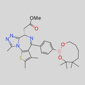 COC(=O)C[C@@H]1N=C(c2ccc(B3OCCCCC(C)(C)C(C)(C)O3)cc2)c2c(sc(C)c2C)-n2c(C)nnc21